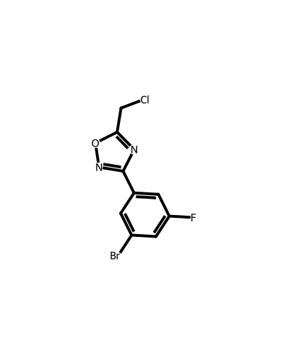 Fc1cc(Br)cc(-c2noc(CCl)n2)c1